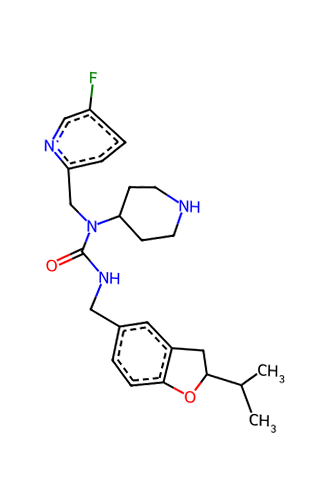 CC(C)C1Cc2cc(CNC(=O)N(Cc3ccc(F)cn3)C3CCNCC3)ccc2O1